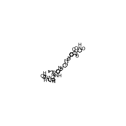 O=C1CCC(N2C(=O)c3ccc(N4CC(F)(CN5CCC(n6cc7cc(NC(=O)c8cnn9ccc(N%10C[C@H]%11C[C@@H]%10CO%11)nc89)c(OCC8CC8)cc7n6)CC5)C4)cc3C2=O)C(=O)N1